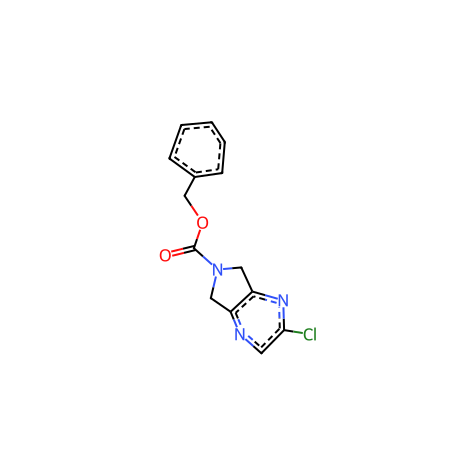 O=C(OCc1ccccc1)N1Cc2ncc(Cl)nc2C1